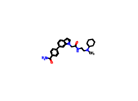 CN(CCNC(=O)Cn1ccc2ccc(-c3ccc(C(N)=O)cc3)cc21)C1CCCCC1